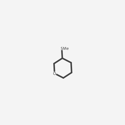 CSC1CCCOC1